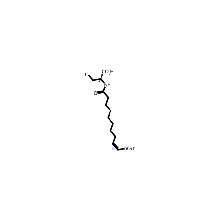 CCCCCCCC/C=C\CCCCCCCC(=O)N[C@@H](CCl)C(=O)O